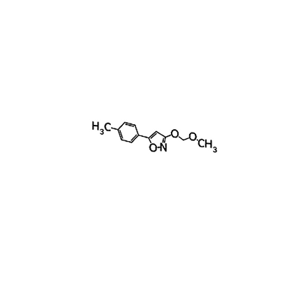 COCOc1cc(-c2ccc(C)cc2)on1